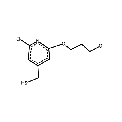 OCCCOc1cc(CS)cc(Cl)n1